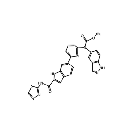 CC(C)(C)OC(=O)N(c1ccc2[nH]ncc2c1)c1ccnc(-c2ccc3cc(C(=O)Nc4nncs4)[nH]c3c2)n1